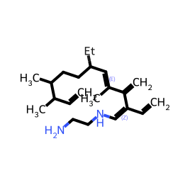 C=C/C(=C/NCCN)C(=C)/C(C)=C/C(CC)CCC(C)C(C)C=C